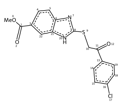 COC(=O)c1ccc2nc(SCC(=O)c3ccc(Cl)cc3)[nH]c2c1